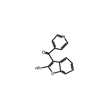 CCCc1oc2ccccc2c1C(=O)c1ccncc1